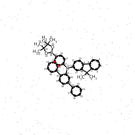 CC1(C)c2ccccc2-c2ccc(N(c3ccc(B4OC(C)(C)C(C)(C)O4)cc3)c3cc(-c4ccccc4)ccc3-c3ccccc3)cc21